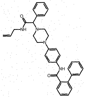 C=CCNC(=O)C(c1ccccc1)N1CCN(c2ccc(NC(=O)c3ccccc3-c3ccccc3)cc2)CC1